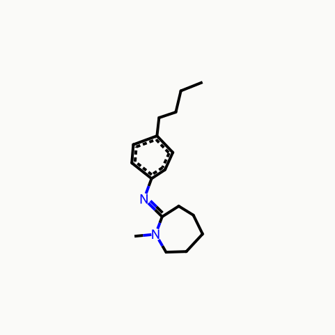 CCCCc1ccc(/N=C2\CCCCCN2C)cc1